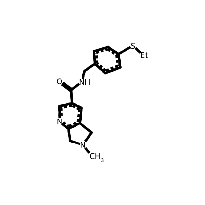 CCSc1ccc(CNC(=O)c2cnc3c(c2)CN(C)C3)cc1